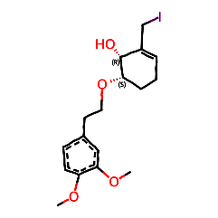 COc1ccc(CCO[C@H]2CCC=C(CI)[C@H]2O)cc1OC